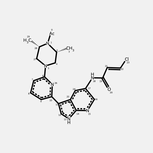 CC(=O)N1[C@H](C)CN(c2cccc(-c3c[nH]c4ncc(NC(=O)/C=C/Cl)cc34)n2)C[C@@H]1C